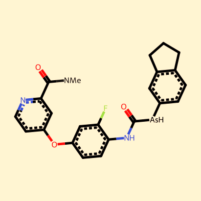 CNC(=O)c1cc(Oc2ccc(NC(=O)[AsH]c3ccc4c(c3)CCC4)c(F)c2)ccn1